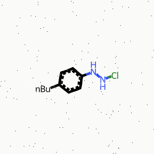 CCCCc1ccc(NNCl)cc1